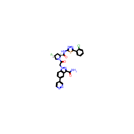 NC(=O)c1nn(CC(=O)N2C[C@H](F)C[C@H]2C(=O)Nc2nnc(-c3ccccc3Cl)s2)c2ccc(-c3ccnnc3)cc12